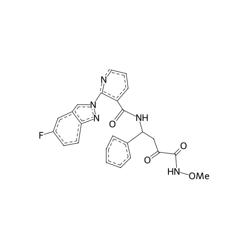 CONC(=O)C(=O)CC(NC(=O)c1cccnc1-n1cc2cc(F)ccc2n1)c1ccccc1